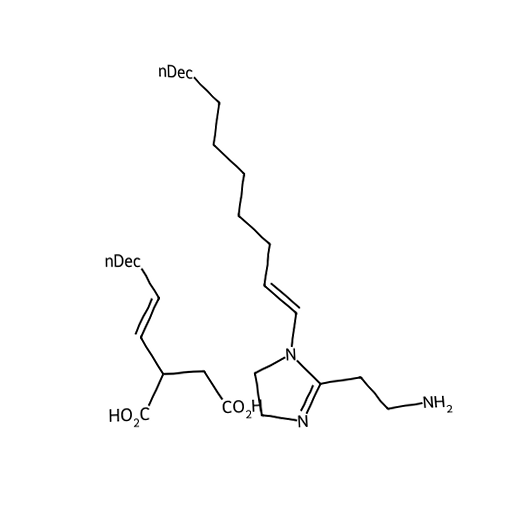 CCCCCCCCCCC=CC(CC(=O)O)C(=O)O.CCCCCCCCCCCCCCCC=CN1CCN=C1CCN